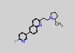 C[C@@H]1CCCN1CCc1ccc2cc(-c3ccc(F)nc3)ccc2n1